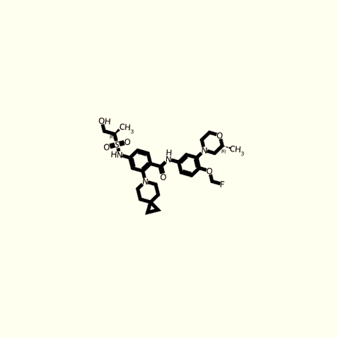 C[C@@H]1CN(c2cc(NC(=O)c3ccc(NS(=O)(=O)[C@H](C)CO)cc3N3CCC4(CC3)CC4)ccc2OCF)CCO1